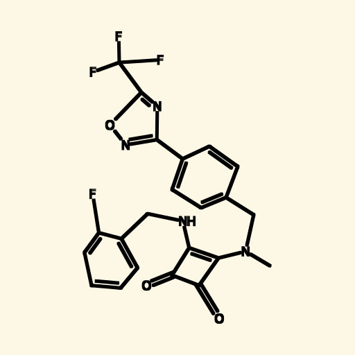 CN(Cc1ccc(-c2noc(C(F)(F)F)n2)cc1)c1c(NCc2ccccc2F)c(=O)c1=O